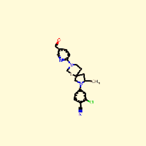 CC1CC2(CCN(c3ccc(C=O)cn3)CC2)CN1c1ccc(C#N)c(Cl)c1